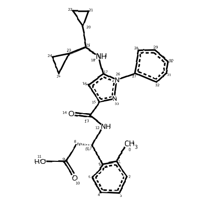 Cc1ccccc1[C@H](CC(=O)O)NC(=O)c1cc(NC(C2CC2)C2CC2)n(-c2ccccc2)n1